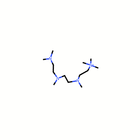 CN(C)CCN(C)CCN(C)CC[N+](C)(C)C